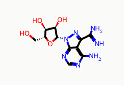 N=C(N)c1nn([C@@H]2O[C@H](CO)[C@@H](O)[C@H]2O)c2ncnc(N)c12